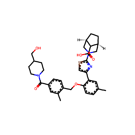 Cc1ccc(OCc2ccc(C(=O)N3CCC(CO)CC3)cc2C)c(-c2csc(N3C[C@H]4CC[C@@H](C3)C4C(=O)O)n2)c1